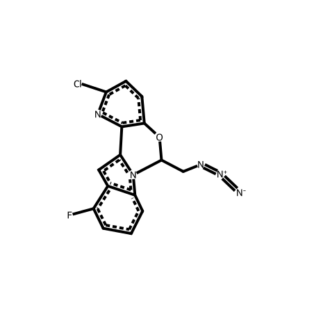 [N-]=[N+]=NCC1Oc2ccc(Cl)nc2-c2cc3c(F)cccc3n21